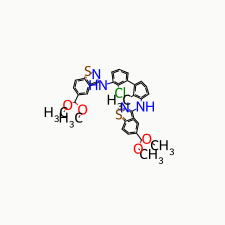 COC(OC)c1ccc2snc(Nc3cccc(-c4cccc(Nc5nsc6ccc(C(OC)OC)cc56)c4Cl)c3C)c2c1